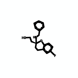 OCC[C@]1(NCc2ccccc2)CCc2cc(F)ccc2O1